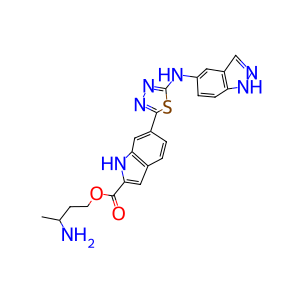 CC(N)CCOC(=O)c1cc2ccc(-c3nnc(Nc4ccc5[nH]ncc5c4)s3)cc2[nH]1